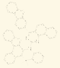 CC1(C)c2ccccc2N(c2nc(-c3ccc4c(c3)sc3ccccc34)c3ccc4ccccc4c3n2)c2c1c1ccccc1c1c2sc2ccccc21